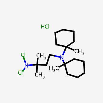 CC(C)(CCN(C1(C)CCCCC1)C1(C)CCCCC1)N(Cl)Cl.Cl